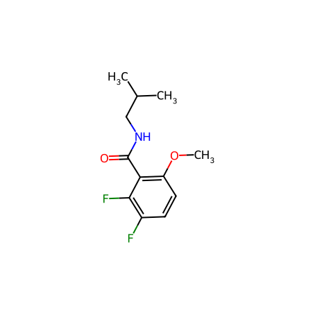 COc1ccc(F)c(F)c1C(=O)NCC(C)C